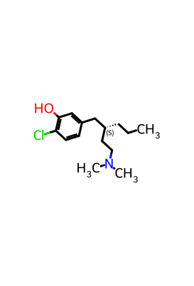 CCC[C@H](CCN(C)C)Cc1ccc(Cl)c(O)c1